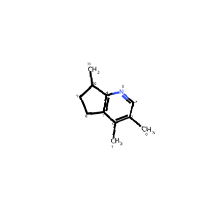 Cc1cnc2c(c1C)CCC2C